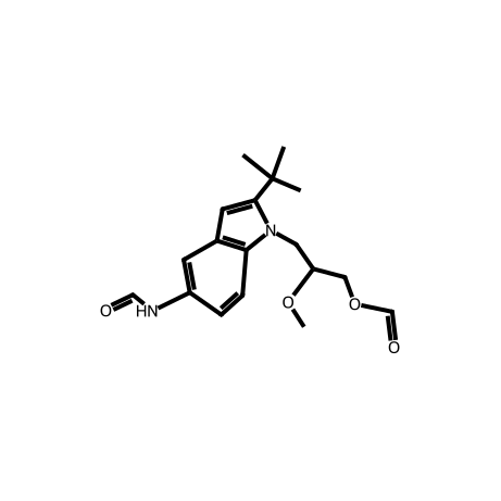 COC(COC=O)Cn1c(C(C)(C)C)cc2cc(NC=O)ccc21